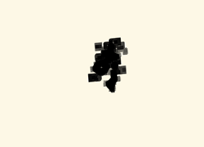 CC(C)(C)C1=C[N@@+]([O-])(C2CCC(O)CC2)c2nc(NCCC3CC3)ncc21